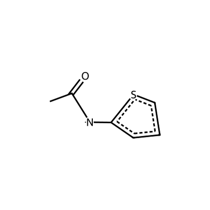 CC(=O)[N]c1cccs1